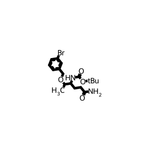 CC(OCc1cccc(Br)c1)C(CCC(N)=O)NC(=O)OC(C)(C)C